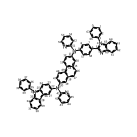 c1ccc(-n2c(-c3ccc(N(c4ccc5c(ccc6cc(N(c7ccc8c(c7)c7ccccc7n8-c7ccccc7)c7ccccn7)ccc65)c4)c4ccccn4)cc3)nc3ccccc32)cc1